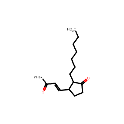 CCCCCCC(=O)C=CC1CCC(=O)C1CCCCCCC(=O)O